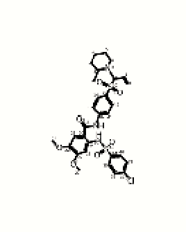 C=CC(N1CCCCC1C)S(=O)(=O)c1ccc(NC(=O)c2cc(OC)c(OC)cc2NS(=O)(=O)c2ccc(Cl)cc2)cc1